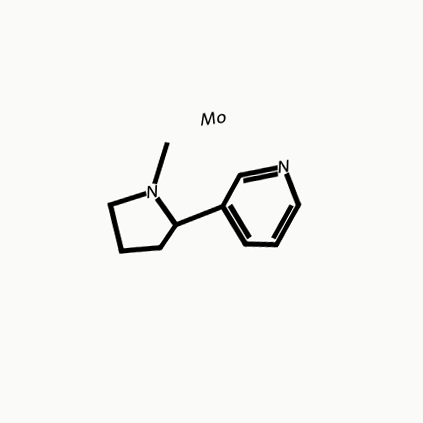 CN1CCCC1c1cccnc1.[Mo]